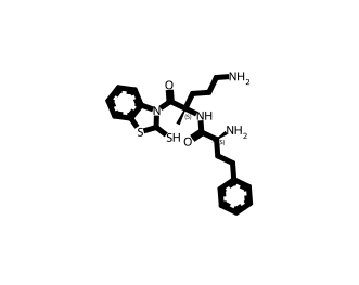 C[C@@](CCCN)(NC(=O)[C@@H](N)CCc1ccccc1)C(=O)N1c2ccccc2SC1S